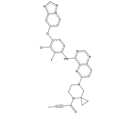 CC#CC(=O)N1CCN(c2ccc3ncnc(Nc4ccc(Oc5ccn6ncnc6c5)c(Cl)c4F)c3n2)CC12CC2